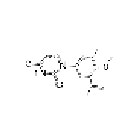 C=C(C)c1cc(-n2ccc(=O)[nH]c2=O)cc(I)c1OC